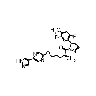 C=C(CCCOc1cnc(-c2cn[nH]c2)cn1)C(=O)N1N=CCC1c1cc(F)c(C)cc1F